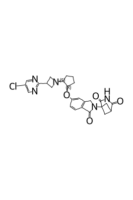 O=C1NC(=O)C2(N3Cc4cc(O[C@@H]5CCC[C@@H]5N5CC(c6ncc(Cl)cn6)C5)ccc4C3=O)CC1C2